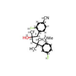 COc1ccc(F)cc1C(C)(C)CC(O)(Cc1ccc(C#N)cc1F)C(F)(F)F